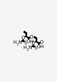 C=CC(OC(N)=S)C(=O)O.C=CC(OC(N)=S)C(=O)O